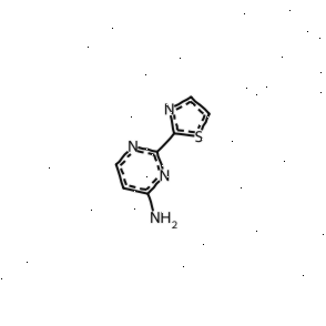 Nc1ccnc(-c2nccs2)n1